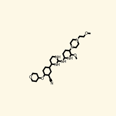 COCCN1CCN(C2CCC(NC3NCCC(C4CCC(OC5CCOCC5)C(C#N)C4)N3)NC2OC)CC1